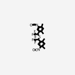 Cc1cc(C)c(C(SC(c2cc(N=C=O)c(C)cc2C)C(F)(F)F)C(F)(F)F)cc1N=C=O